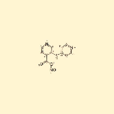 O=NOC(=O)c1ccncc1Sc1ccncc1